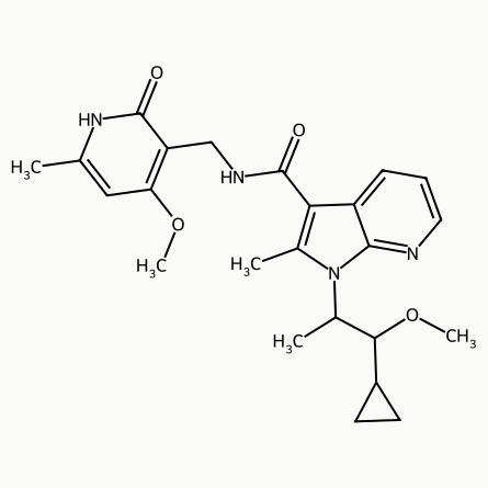 COc1cc(C)[nH]c(=O)c1CNC(=O)c1c(C)n(C(C)C(OC)C2CC2)c2ncccc12